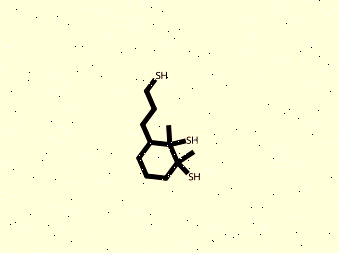 CC1(S)CCCC(CCCS)C1(C)S